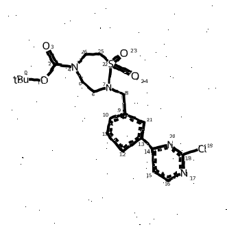 CC(C)(C)OC(=O)N1CCN(Cc2cccc(-c3ccnc(Cl)n3)c2)S(=O)(=O)CC1